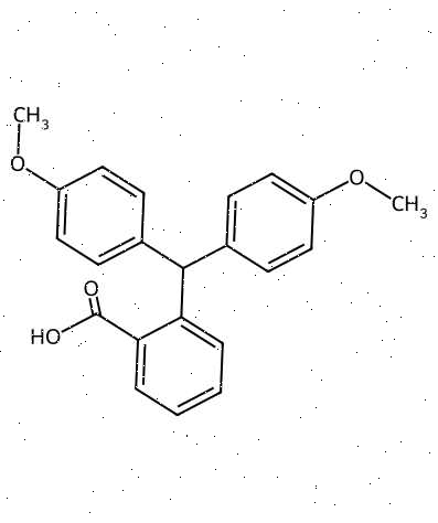 COc1ccc(C(c2ccc(OC)cc2)c2ccccc2C(=O)O)cc1